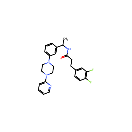 CC(NC(=O)CCc1ccc(F)c(F)c1)c1cccc(N2CCN(c3ccccn3)CC2)c1